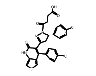 O=C(O)CCC(=O)N1N=C(c2c(-c3ccc(Cl)cc3)c3cscc3[nH]c2=O)C[C@H]1c1ccc(Cl)cc1